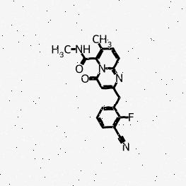 CNC(=O)c1c(C)ccc2nc(Cc3cccc(C#N)c3F)cc(=O)n12